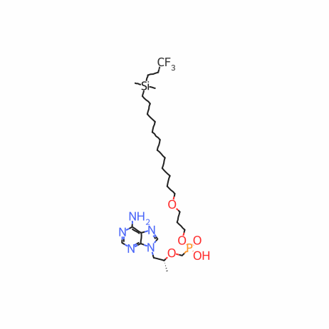 C[C@H](Cn1cnc2c(N)ncnc21)OCP(=O)(O)OCCCOCCCCCCCCCCCC[Si](C)(C)CCC(F)(F)F